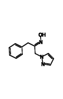 O/N=C(\Cc1ccccc1)Cn1cccn1